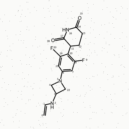 C=CNC1CN(c2cc(F)c(C3CCC(=O)NC3=O)c(F)c2)C1